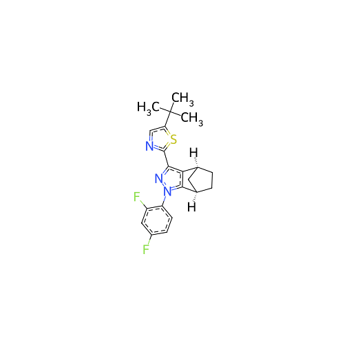 CC(C)(C)c1cnc(-c2nn(-c3ccc(F)cc3F)c3c2[C@H]2CC[C@@H]3C2)s1